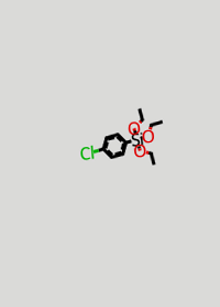 CCO[Si](OCC)(OCC)c1ccc(Cl)cc1